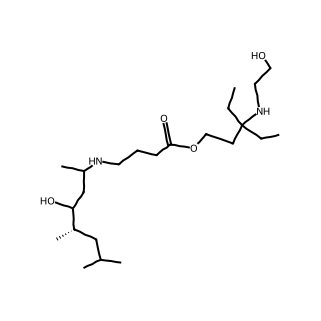 CCC(CC)(CCOC(=O)CCCNC(C)CC(O)[C@@H](C)CC(C)C)NCCO